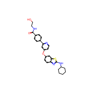 O=C(NCCO)c1ccc(-c2cc(Oc3ccc4nc(NC5CCCCC5)sc4c3)ccn2)cc1